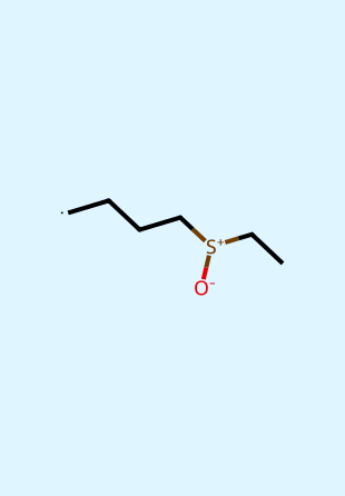 [CH2]CCC[S+]([O-])CC